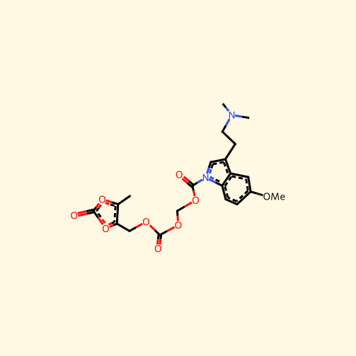 COc1ccc2c(c1)c(CCN(C)C)cn2C(=O)OCOC(=O)OCc1oc(=O)oc1C